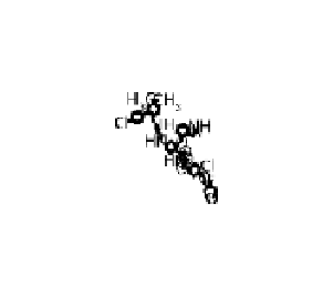 CC1(C)CCC(CNCCNc2ccc(C(=O)NS(=O)(=O)c3ccc(OCC4(F)CCOCC4)c(Cl)c3)c(Oc3cccc4[nH]ncc34)c2)=C(c2ccc(Cl)cc2)C1